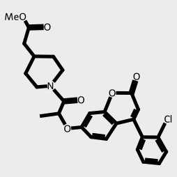 COC(=O)CC1CCN(C(=O)C(C)Oc2ccc3c(-c4ccccc4Cl)cc(=O)oc3c2)CC1